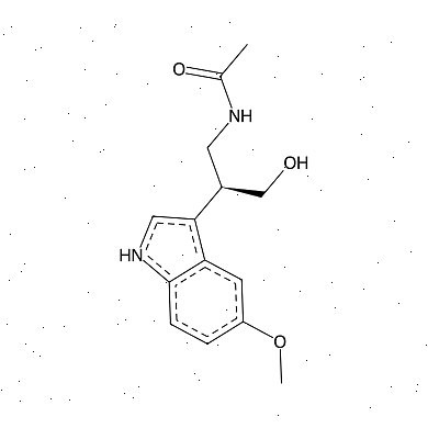 COc1ccc2[nH]cc([C@H](CO)CNC(C)=O)c2c1